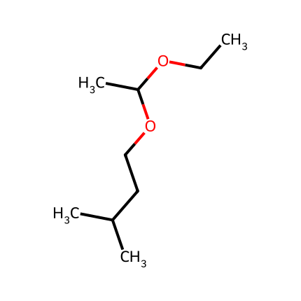 CCOC(C)OCCC(C)C